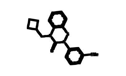 CSc1cccc(N2Sc3ccccc3N(CC3CCC3)C2=O)c1